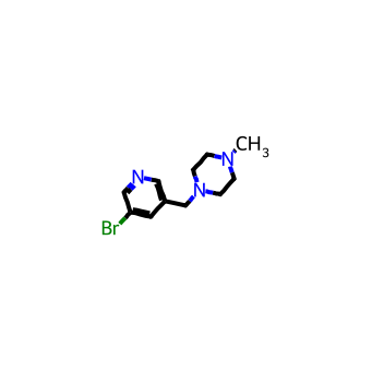 CN1CCN(Cc2cncc(Br)c2)CC1